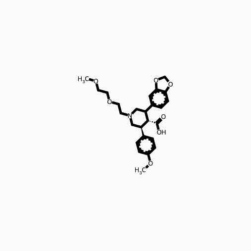 COCCOCCN1CC(c2ccc3c(c2)OCO3)[C@H](C(=O)O)[C@@H](c2ccc(OC)cc2)C1